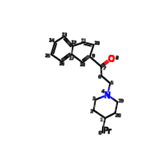 CC(C)C1CCN(CCC(=O)c2ccc3ccccc3c2)CC1